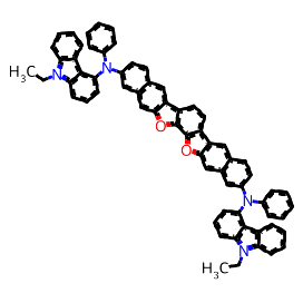 CCn1c2ccccc2c2c(N(c3ccccc3)c3ccc4cc5c(cc4c3)oc3c5ccc4c5cc6ccc(N(c7ccccc7)c7cccc8c7c7ccccc7n8CC)cc6cc5oc43)cccc21